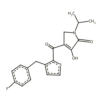 CC(C)N1CC(C(=O)c2sccc2Cc2ccc(F)cc2)=C(O)C1=O